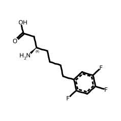 N[C@H](CCCCc1cc(F)c(F)cc1F)CC(=O)O